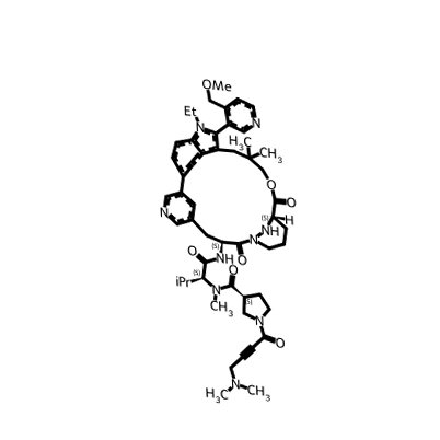 CCn1c(-c2cnccc2COC)c2c3cc(ccc31)-c1cncc(c1)C[C@H](NC(=O)[C@H](C(C)C)N(C)C(=O)[C@H]1CCN(C(=O)C#CCN(C)C)C1)C(=O)N1CCC[C@H](N1)C(=O)OCC(C)(C)C2